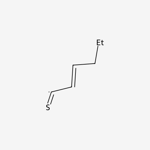 CCCC=C[C]=S